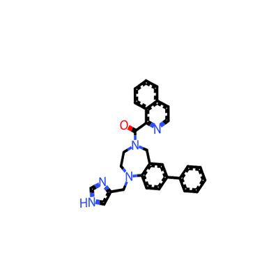 O=C(c1nccc2ccccc12)N1CCN(Cc2c[nH]cn2)c2ccc(-c3ccccc3)cc2C1